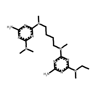 CCN(C)c1nc(N)nc(N(C)CCCCN(C)c2nc(N)nc(N(C)C)n2)n1